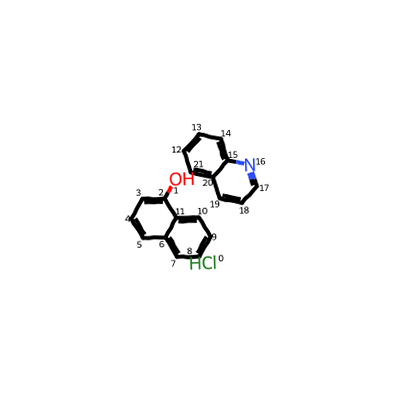 Cl.Oc1cccc2ccccc12.c1ccc2ncccc2c1